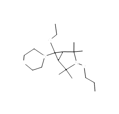 CCCON1C(C)(C)C2C(C1(C)C)C2(OCC)N1CCOCC1